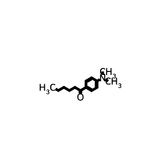 CCCCCC(=O)c1ccc(N(C)C)cc1